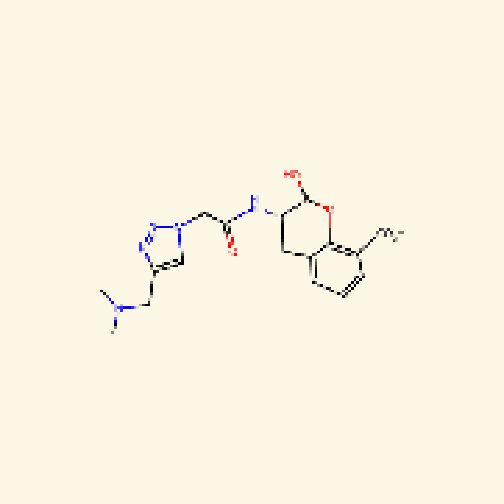 CN(C)Cc1cn(CC(=O)N[C@H]2Cc3cccc(C(=O)O)c3OB2O)nn1